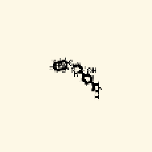 Oc1cc(-c2cn[nH]c2)ccc1-c1ccc(OC2CC3CCCC(C2)N3)nn1